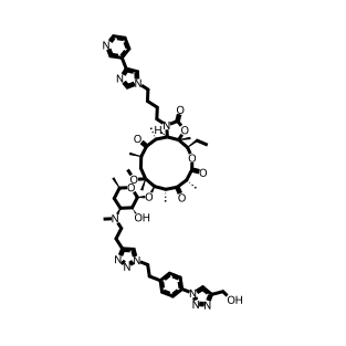 CC[C@H]1OC(=O)[C@H](C)C(=O)[C@H](C)[C@@H](O[C@@H]2O[C@H](C)C[C@H](N(C)CCc3cn(CCc4ccc(-n5cc(CO)nn5)cc4)nn3)[C@H]2O)[C@](C)(OC)C[C@@H](C)C(=O)[C@H](C)[C@H]2N(CCCCn3cnc(-c4cccnc4)c3)C(=O)O[C@]12C